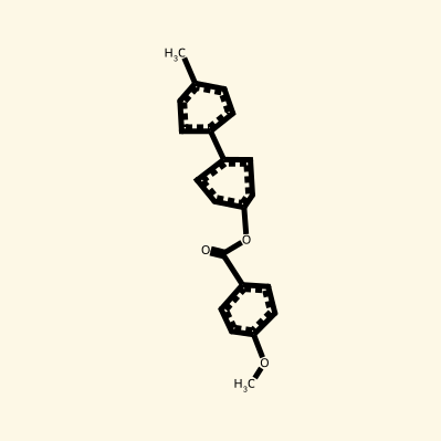 COc1ccc(C(=O)Oc2ccc(-c3ccc(C)cc3)cc2)cc1